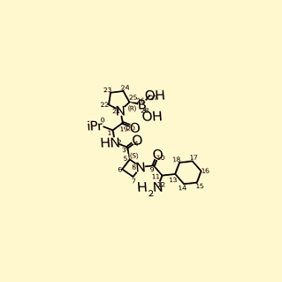 CC(C)C(NC(=O)[C@@H]1CCN1C(=O)C(N)C1CCCCC1)C(=O)N1CCC[C@H]1B(O)O